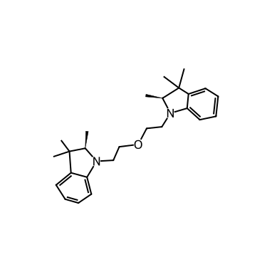 C[C@@H]1N(CCOCCN2c3ccccc3C(C)(C)[C@H]2C)c2ccccc2C1(C)C